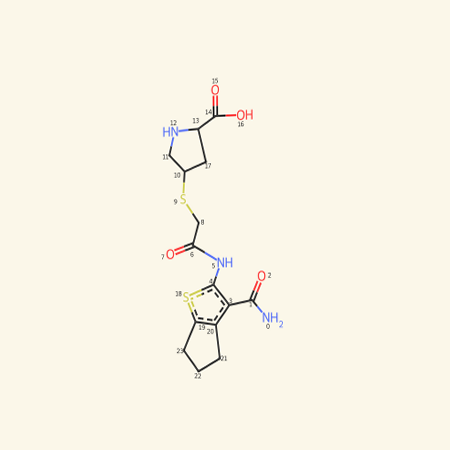 NC(=O)c1c(NC(=O)CSC2CNC(C(=O)O)C2)sc2c1CCC2